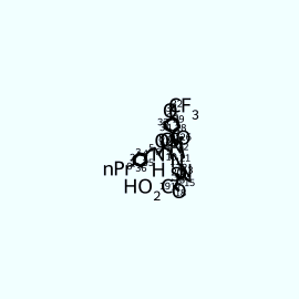 CCCc1ccc(CNC(=O)C2CN(c3nc(C)c(C(=O)C(=O)O)s3)CCN2S(=O)(=O)c2ccc(OC(F)(F)F)cc2)cc1